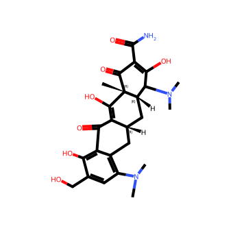 CN(C)c1cc(CO)c(O)c2c1C[C@H]1C[C@H]3C(N(C)C)C(O)=C(C(N)=O)C(=O)[C@@]3(C)C(O)=C1C2=O